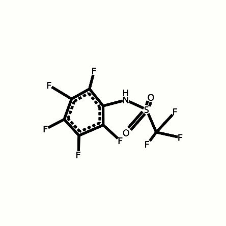 O=S(=O)(Nc1c(F)c(F)c(F)c(F)c1F)C(F)(F)F